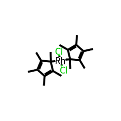 CC1=C(C)[C](C)([Rh-]([Cl])([Cl])[C]2(C)C(C)=C(C)C(C)=C2C)C(C)=C1C